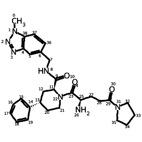 Cn1nnc2cc(CNC(=O)[C@@H]3C[C@@H](c4ccccc4)CCN3C(=O)[C@H](N)CCC(=O)N3CCCC3)ccc21